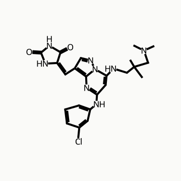 CN(C)CC(C)(C)CNc1cc(Nc2cccc(Cl)c2)nc2c(C=C3NC(=O)NC3=O)cnn12